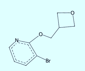 Brc1cccnc1OCC1COC1